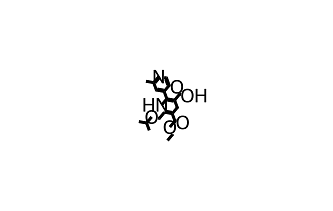 CCOC(=O)C1=C(COC(C)C)NC(c2ccnc(C)c2)=C(C(=O)O)C1